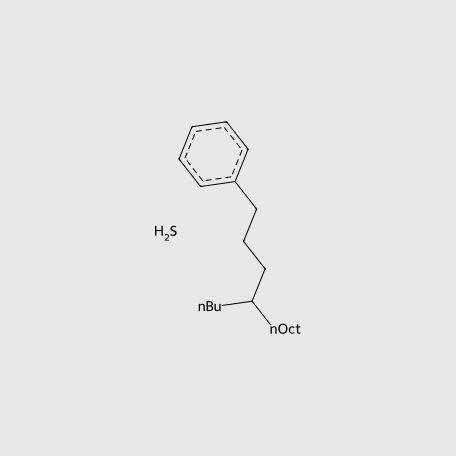 CCCCCCCCC(CCCC)CCCc1ccccc1.S